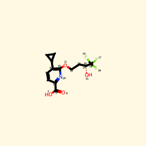 O=C(O)c1ccc(C2CC2)c(OCC[C@@H](O)C(F)(F)F)n1